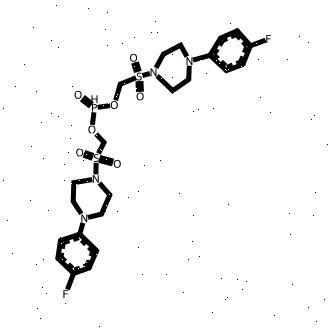 O=[PH](OCS(=O)(=O)N1CCN(c2ccc(F)cc2)CC1)OCS(=O)(=O)N1CCN(c2ccc(F)cc2)CC1